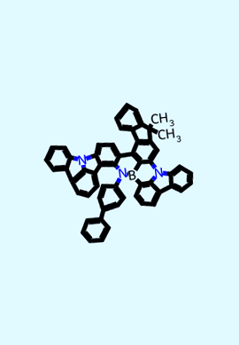 CC1(C)c2ccccc2-c2c1cc1c3c2-c2ccc4c(c2N(c2ccc(-c5ccccc5)cc2)B3c2cccc3c5ccccc5n-1c23)c1cccc2c3ccccc3n4c21